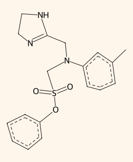 Cc1cccc(N(CC2=NCCN2)CS(=O)(=O)Oc2ccccc2)c1